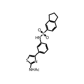 CC(=O)Nc1nc(-c2cccc(NS(=O)(=O)c3ccc4c(c3)CCC4)c2)cs1